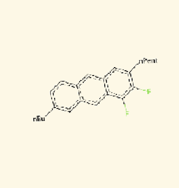 CCCCCc1cc2cc3ccc(CCCC)cc3cc2c(F)c1F